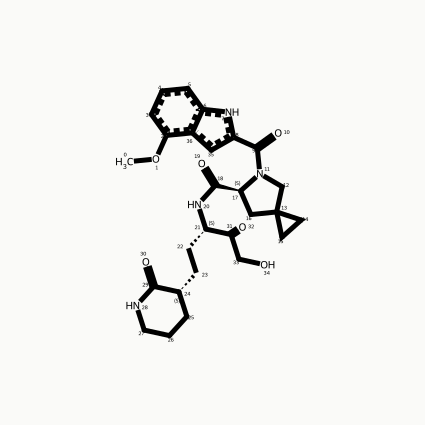 COc1cccc2[nH]c(C(=O)N3CC4(CC4)C[C@H]3C(=O)N[C@@H](CC[C@@H]3CCCNC3=O)C(=O)CO)cc12